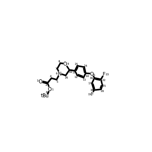 CC(C)(C)OC(=O)CCN1CCOC(c2ccc(Oc3cc(F)ccc3F)cc2)C1